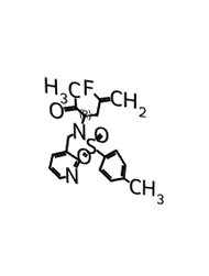 C=C(F)C[C@H](C(C)=O)N(Cc1cccnc1)S(=O)(=O)c1ccc(C)cc1